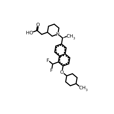 CC1CCC(Oc2ccc3cc([C@H](C)N4CCCC(CC(=O)O)C4)ccc3c2C(F)F)CC1